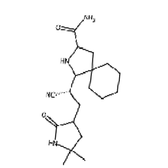 CC1(C)CC(C[C@H](C#N)C2NC(C(N)=O)CC23CCCCC3)C(=O)N1